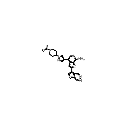 CC(=O)N1CCC(n2cc(-c3cnc(N)c4oc(-c5csc6cnncc56)cc34)cn2)CC1